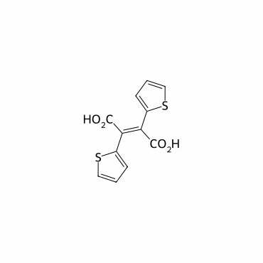 O=C(O)/C(=C(/C(=O)O)c1cccs1)c1cccs1